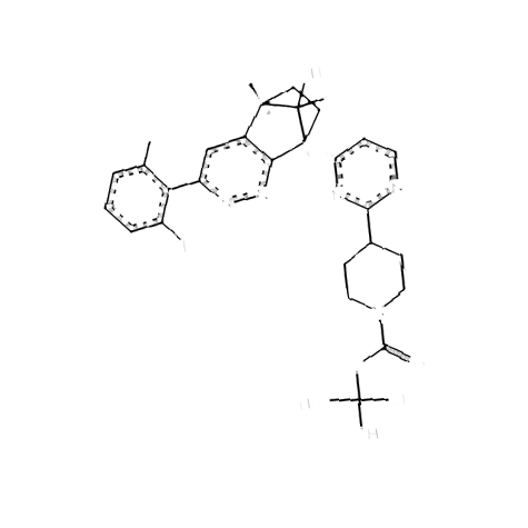 CC(C)(C)OC(=O)N1CCC(c2nccc([C@]34CC[C@@H](c5cc(-c6c(F)cccc6F)nnc53)C4(C)C)n2)CC1